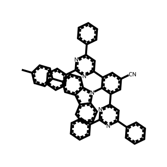 Cc1ccc(-c2ccc3c(c2)c2ccccc2n3-c2c(-c3cc(-c4ccccc4)nc(-c4ccccc4)n3)cc(C#N)cc2-c2cc(-c3ccccc3)nc(-c3ccccc3)n2)cc1